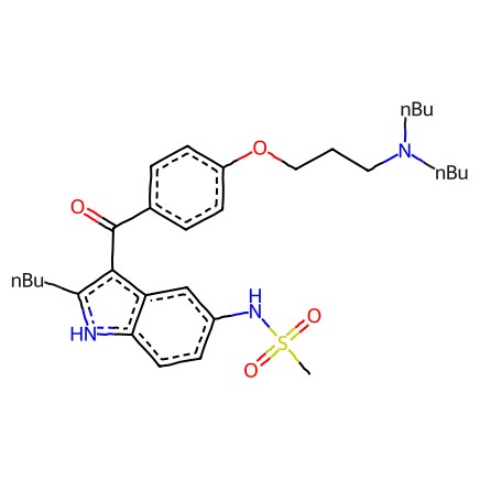 CCCCc1[nH]c2ccc(NS(C)(=O)=O)cc2c1C(=O)c1ccc(OCCCN(CCCC)CCCC)cc1